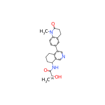 C[C@@H](O)C(=O)NC1CCCc2c(-c3ccc4c(c3)CCC(=O)N4C)cncc21